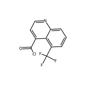 O=C(Cl)c1ccnc2cccc(C(F)(F)F)c12